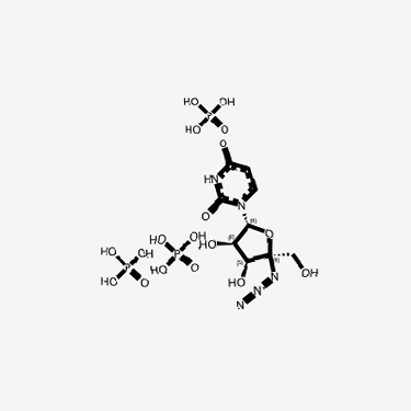 O=P(O)(O)O.O=P(O)(O)O.O=P(O)(O)O.[N-]=[N+]=N[C@]1(CO)O[C@@H](n2ccc(=O)[nH]c2=O)[C@H](O)[C@@H]1O